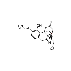 NCOc1ccc2c(c1O)[C@]13CCN(CC4CC4)[C@H](C2)[C@]1(O)CCC(=O)C3